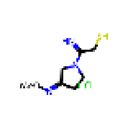 CON=C1CCN(C(=N)CS)C1.Cl